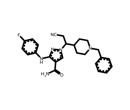 N#CCC(C1CCN(Cc2ccccc2)CC1)n1cc(C(N)=O)c(Nc2ccc(F)cc2)n1